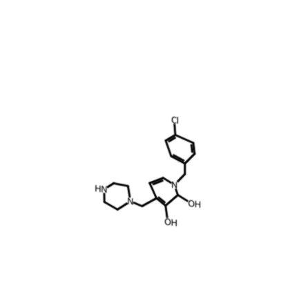 OC1=C(CN2CCNCC2)C=CN(Cc2ccc(Cl)cc2)C1O